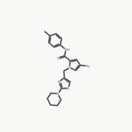 CC(=O)c1cc(C(=O)Nc2ccc(I)cc2)n(Cc2csc(N3CCCCC3)n2)c1